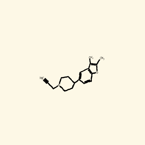 C#CCN1CCC(c2ccc3oc(C)c(C)c3c2)CC1